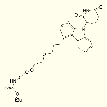 CC(C)(C)OC(=O)NCCOCCOCCCc1ccnc2c1c1ccccc1n2C1CCC(=O)NC1=O